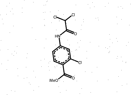 COC(=O)c1ccc(NC(=O)C(Cl)Cl)cc1Cl